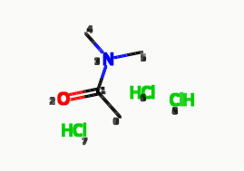 CC(=O)N(C)C.Cl.Cl.Cl